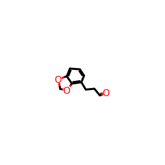 O=CCCc1cccc2c1OCO2